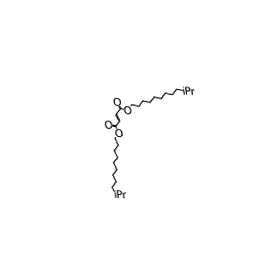 CC(C)CCCCCCCCCOC(=O)C=CC(=O)OCCCCCCCCCC(C)C